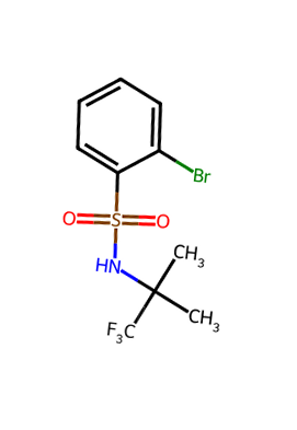 CC(C)(NS(=O)(=O)c1ccccc1Br)C(F)(F)F